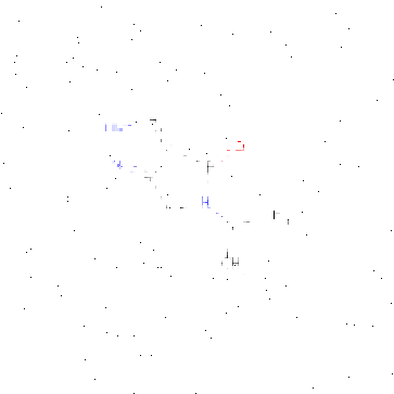 CC(C)N1Cc2n[nH]cc2C1=O